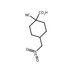 N#CC1(C(=O)O)CCC(C[SH](=O)=O)CC1